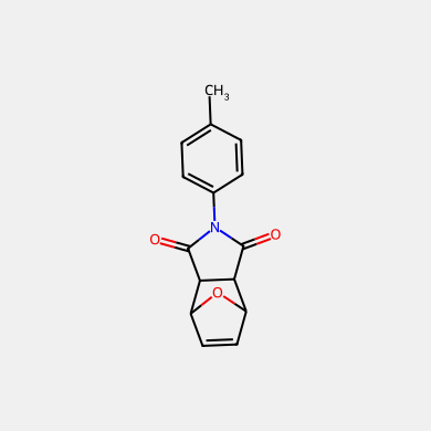 Cc1ccc(N2C(=O)C3C4C=CC(O4)C3C2=O)cc1